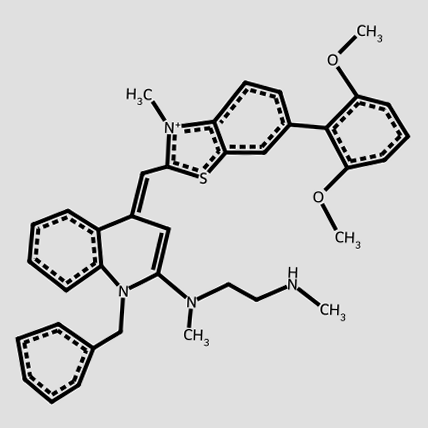 CNCCN(C)C1=CC(=Cc2sc3cc(-c4c(OC)cccc4OC)ccc3[n+]2C)c2ccccc2N1Cc1ccccc1